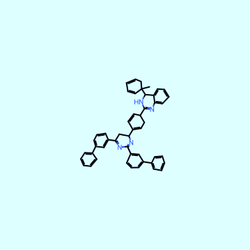 CC1(C2NC(C3C=CC(C4CC(c5cccc(-c6ccccc6)c5)=NC(c5cccc(-c6ccccc6)c5)=N4)=CC3)=Nc3ccccc32)C=CC=CC1